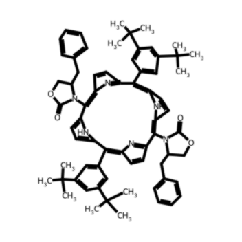 CC(C)(C)c1cc(-c2c3nc(c(N4C(=O)OCC4Cc4ccccc4)c4ccc([nH]4)c(-c4cc(C(C)(C)C)cc(C(C)(C)C)c4)c4nc(c(N5C(=O)OCC5Cc5ccccc5)c5ccc2[nH]5)C=C4)C=C3)cc(C(C)(C)C)c1